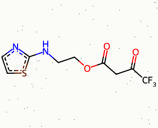 O=C(CC(=O)C(F)(F)F)OCCNc1nccs1